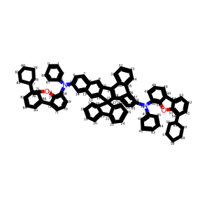 c1ccc(N(c2ccc3cc4c(cc3c2)C2(c3ccccc3-c3ccccc32)c2c-4c3ccccc3c3cc(N(c4ccccc4)c4cccc5c4oc4c(C6CCCCC6)cccc45)ccc23)c2cccc3c2oc2c(C4CCCCC4)cccc23)cc1